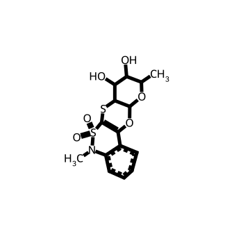 CC1OC2OC3=C(SC2C(O)C1O)S(=O)(=O)N(C)c1ccccc13